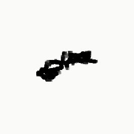 Cc1cc2c(cn1)C[C@@H](NC(=O)c1sc3nc(C)ccc3c1N)CO2